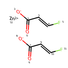 O=C([O-])C=CF.O=C([O-])C=CF.[Zn+2]